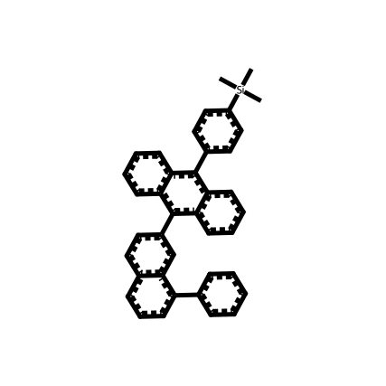 C[Si](C)(C)c1ccc(-c2c3ccccc3c(-c3ccc4cccc(-c5ccccc5)c4c3)c3ccccc23)cc1